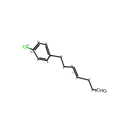 O=[C]CC/C=C/CCc1ccc(Cl)cc1